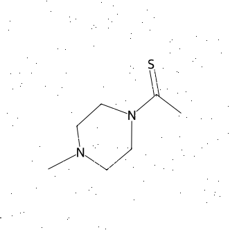 CC(=S)N1CCN(C)CC1